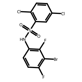 O=S(=O)(Nc1ccc(F)c(Br)c1F)c1cc(Cl)ccc1Cl